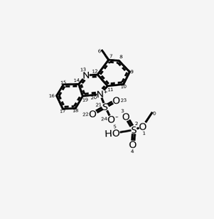 COS(=O)(=O)O.Cc1cccc2c1nc1ccccc1[n+]2S(=O)(=O)[O-]